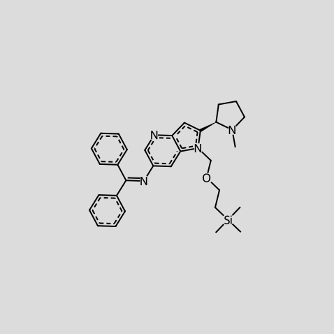 CN1CCC[C@@H]1c1cc2ncc(N=C(c3ccccc3)c3ccccc3)cc2n1COCC[Si](C)(C)C